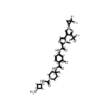 Cn1c(-c2cn(C3CC3(F)F)nc2C(F)(F)F)cnc1C(=O)Nc1ccc(C(=O)NC2(C)CCN(C(=O)N[C@H]3C[C@@H](N)C3)CC2)c(Cl)c1